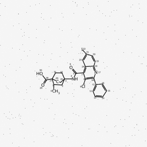 CC1CC2(NC(=O)c3c(Cl)c(-c4ccccc4)nc4ccc(I)cc34)CCC1(C(=O)O)CC2